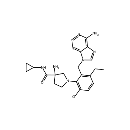 CCc1ccc(Cl)c(N2CCC(N)(C(=O)NC3CC3)C2)c1Cn1cnc2c(N)ncnc21